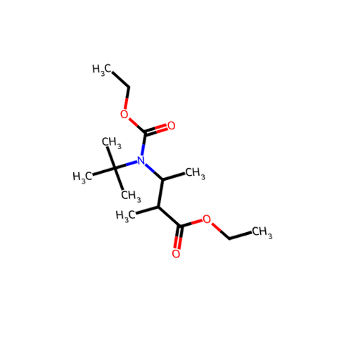 CCOC(=O)C(C)C(C)N(C(=O)OCC)C(C)(C)C